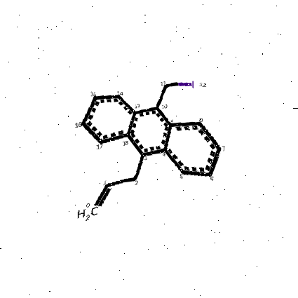 C=CCc1c2ccccc2c(CI)c2ccccc12